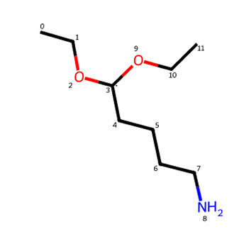 CCO[C](CCCCN)OCC